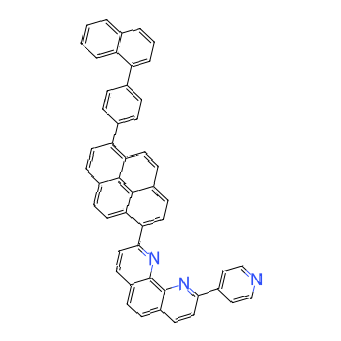 c1ccc2c(-c3ccc(-c4ccc5ccc6c(-c7ccc8ccc9ccc(-c%10ccncc%10)nc9c8n7)ccc7ccc4c5c76)cc3)cccc2c1